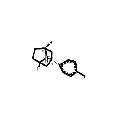 [CH2-][NH+]1[C@@H]2CC[C@H]1C[C@@H](c1ccc(F)cc1)C2